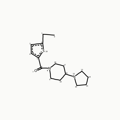 CCc1ccc(C(=O)N2CCC(N3CCCC3)CC2)s1